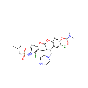 CC(C)CS(=O)(=O)Nc1cccc(Cc2c(CN3CCNCC3)c3cc(Cl)c(OC(=O)N(C)C)cc3oc2=O)c1F